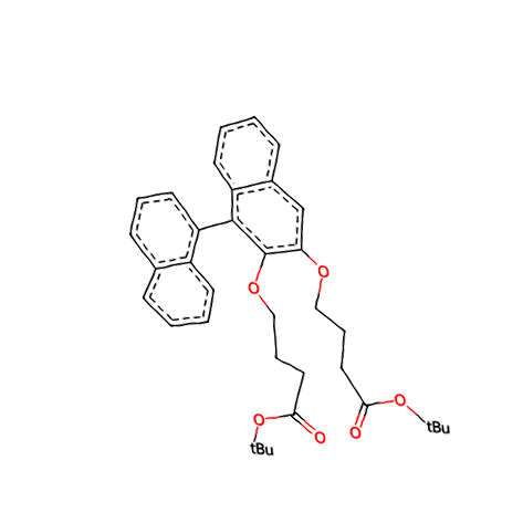 CC(C)(C)OC(=O)CCCOc1cc2ccccc2c(-c2cccc3ccccc23)c1OCCCC(=O)OC(C)(C)C